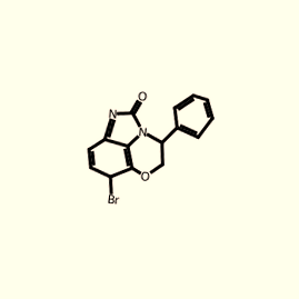 O=C1N=C2C=CC(Br)C3=C2N1C(c1ccccc1)CO3